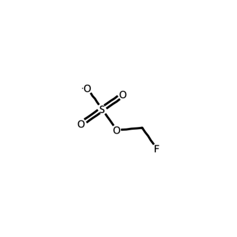 [O]S(=O)(=O)OCF